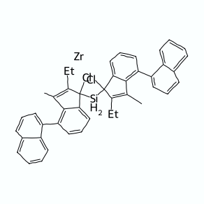 CCC1=C(C)c2c(-c3cccc4ccccc34)cccc2C1(Cl)[SiH2]C1(Cl)C(CC)=C(C)c2c(-c3cccc4ccccc34)cccc21.[Zr]